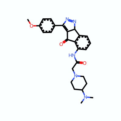 COc1ccc(C2=C3C(=O)c4c(NC(=O)CN5CCC(N(C)C)CC5)cccc4C3N=N2)cc1